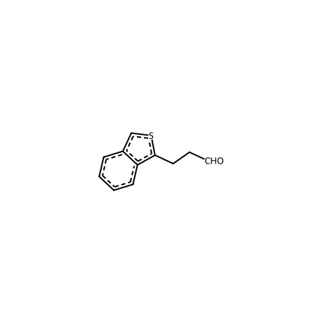 O=CCCc1scc2ccccc12